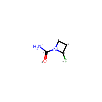 NC(=O)N1CCC1F